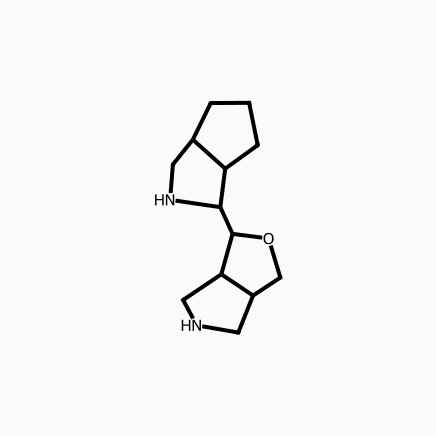 C1CC2CNC(C3OCC4CNCC43)C2C1